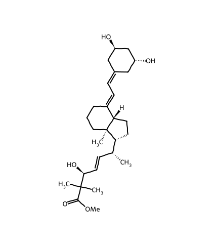 COC(=O)C(C)(C)[C@@H](O)/C=C/[C@@H](C)[C@H]1CC[C@H]2/C(=C/C=C3C[C@@H](O)C[C@H](O)C3)CCC[C@]12C